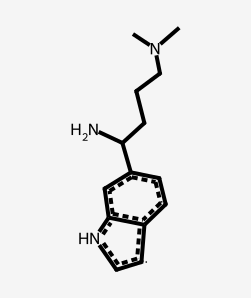 CN(C)CCCC(N)c1ccc2[c]c[nH]c2c1